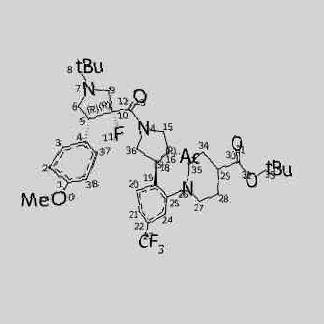 COc1ccc([C@@H]2CN(C(C)(C)C)C[C@@]2(F)C(=O)N2C[C@H](C(C)=O)[C@@H](c3ccc(C(F)(F)F)cc3N3CCC(C(=O)OC(C)(C)C)CC3)C2)cc1